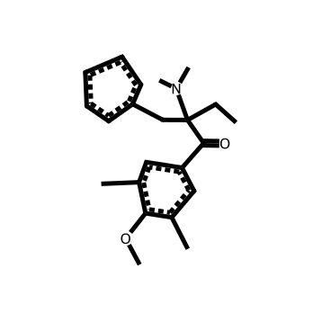 CCC(Cc1ccccc1)(C(=O)c1cc(C)c(OC)c(C)c1)N(C)C